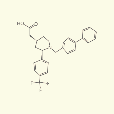 O=C(O)C[C@H]1CCN(Cc2ccc(-c3ccccc3)cc2)[C@@H](c2ccc(C(F)(F)F)cc2)C1